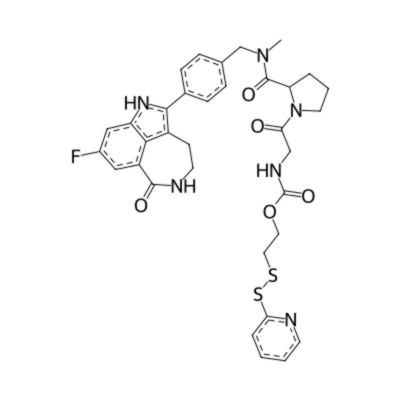 CN(Cc1ccc(-c2[nH]c3cc(F)cc4c3c2CCNC4=O)cc1)C(=O)C1CCCN1C(=O)CNC(=O)OCCSSc1ccccn1